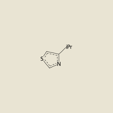 [CH2]C(C)c1cscn1